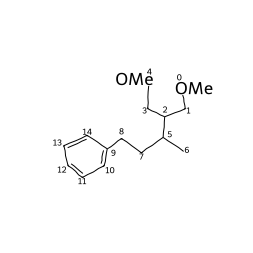 COCC(COC)C(C)CCc1ccccc1